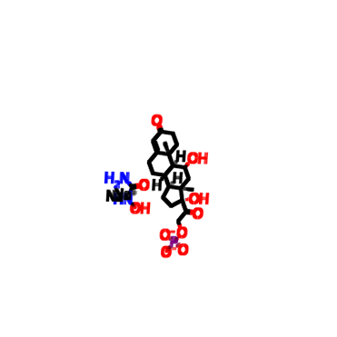 C[C@]12CCC(=O)C=C1CC[C@@H]1[C@@H]2[C@@H](O)C[C@@]2(C)[C@H]1CC[C@]2(O)C(=O)COP(=O)([O-])[O-].NC(=O)NO.[Na+].[Na+]